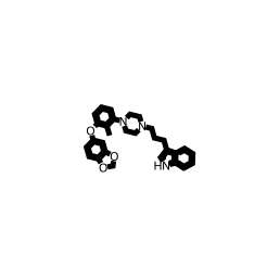 Cc1c(Oc2ccc3c(c2)OCO3)cccc1N1CCN(CCCc2c[nH]c3ccccc23)CC1